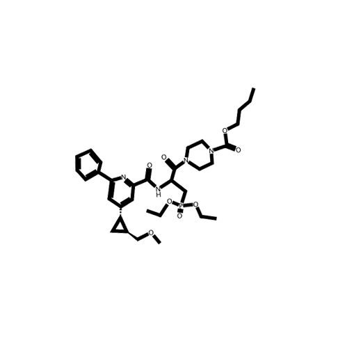 CCCCOC(=O)N1CCN(C(=O)C(CP(=O)(OCC)OCC)NC(=O)c2cc([C@H]3C[C@@H]3COC)cc(-c3ccccc3)n2)CC1